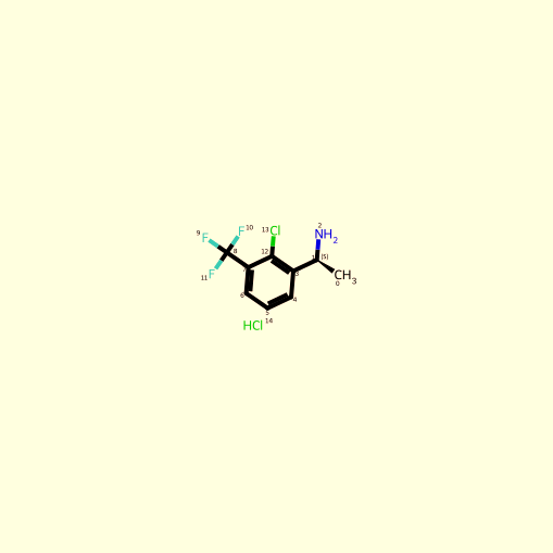 C[C@H](N)c1cccc(C(F)(F)F)c1Cl.Cl